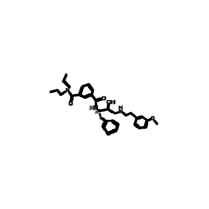 CCCN(CCC)C(=O)c1cccc(C(=O)N[C@@H](Cc2ccccc2)C(O)CNCCc2cccc(OC)c2)c1